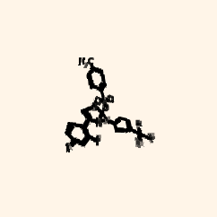 Cc1ccc(S(=O)(=O)OC23SC=C(c4ccc(F)cc4F)N2N3c2ccc(C(F)(F)F)cc2)cc1